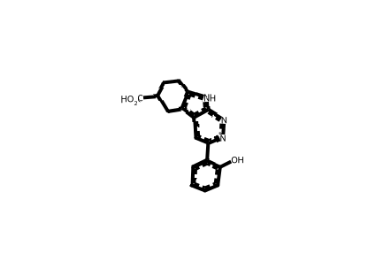 O=C(O)C1CCc2[nH]c3nnc(-c4ccccc4O)cc3c2C1